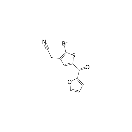 N#CCc1cc(C(=O)c2ccco2)sc1Br